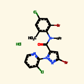 CCCN(C(=O)c1cc(Br)nn1-c1ncccc1Cl)c1c(Br)cc(Cl)cc1C(=O)O.Cl